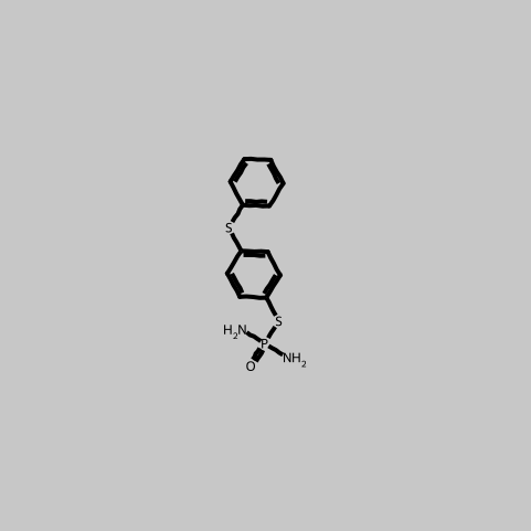 NP(N)(=O)Sc1ccc(Sc2ccccc2)cc1